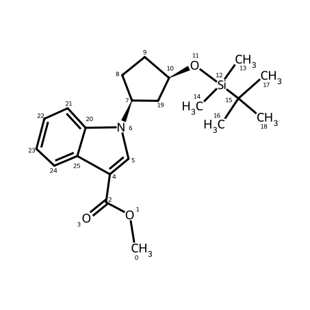 COC(=O)c1cn([C@H]2CC[C@@H](O[Si](C)(C)C(C)(C)C)C2)c2ccccc12